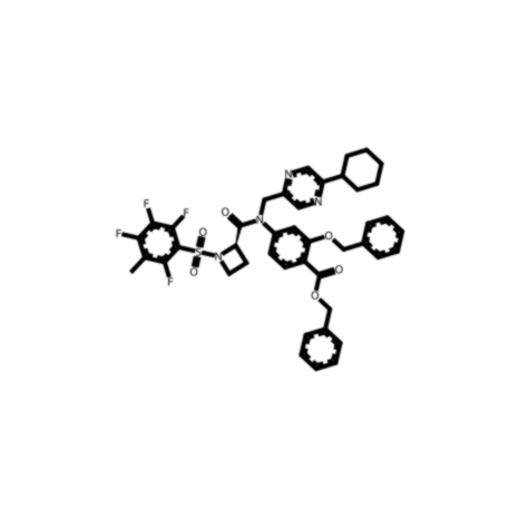 Cc1c(F)c(F)c(F)c(S(=O)(=O)N2CC[C@@H]2C(=O)N(Cc2cnc(C3CCCCC3)cn2)c2ccc(C(=O)OCc3ccccc3)c(OCc3ccccc3)c2)c1F